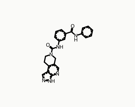 O=C(Nc1ccccc1)c1cccc(NC(=O)N2CCc3c(cnc4[nH]ncc34)C2)c1